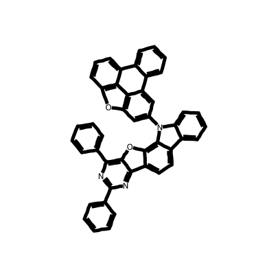 c1ccc(-c2nc(-c3ccccc3)c3oc4c(ccc5c6ccccc6n(-c6cc7oc8cccc9c%10ccccc%10c(c6)c7c89)c54)c3n2)cc1